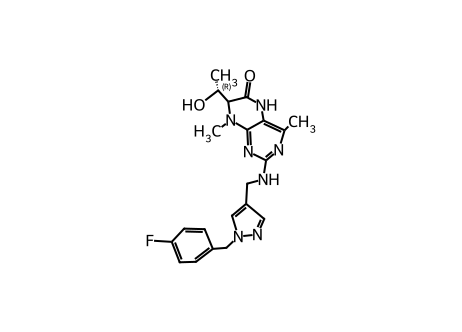 Cc1nc(NCc2cnn(Cc3ccc(F)cc3)c2)nc2c1NC(=O)C([C@@H](C)O)N2C